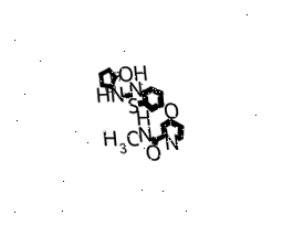 CNC(=O)c1cc(Oc2ccc3nc(N[C@H]4CCC[C@@H]4O)sc3c2)ccn1